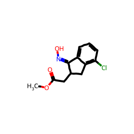 COC(=O)CC1Cc2c(Cl)cccc2C1=NO